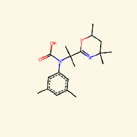 Cc1cc(C)cc(N(C(=O)O)C(C)(C)C2=NC(C)(C)CC(C)O2)c1